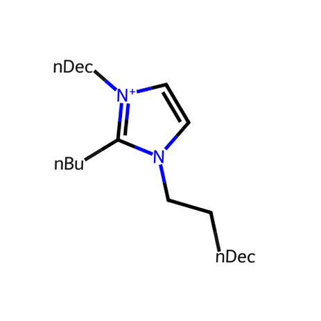 CCCCCCCCCCCCn1cc[n+](CCCCCCCCCC)c1CCCC